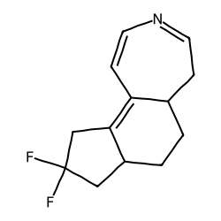 FC1(F)CC2=C3C=CN=CCC3CCC2C1